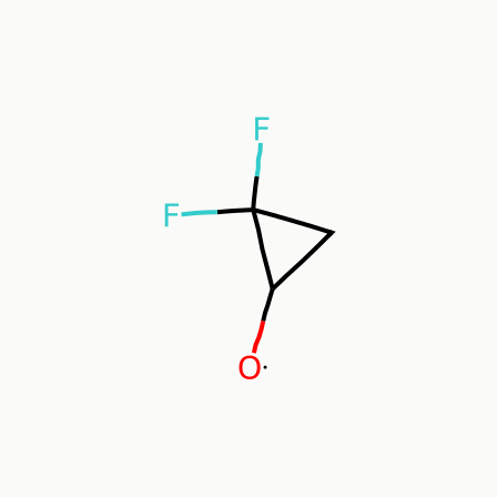 [O]C1CC1(F)F